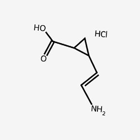 Cl.NC=CC1CC1C(=O)O